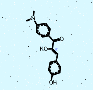 CN(C)c1ccc(C(=O)/C(C#N)=C/c2ccc(O)cc2)cc1